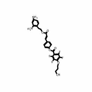 N#CCCCOc1c(F)c(F)c(C(=O)Oc2ccc(C=CC(=O)OCCc3ccc(N)cc3N)cc2)c(F)c1F